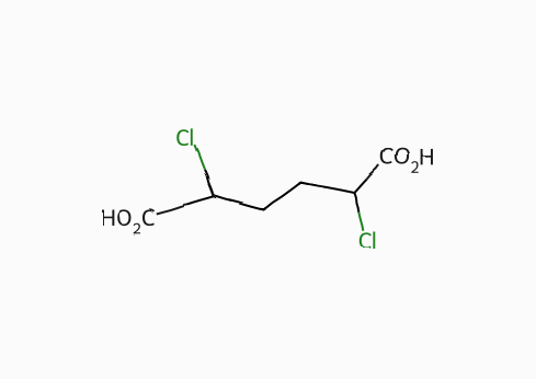 O=C(O)C(Cl)CCC(Cl)C(=O)O